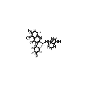 C[C@@H](Nc1ncnc2[nH]cnc12)c1nc2ccc(F)c(Cl)c2c(=O)n1-c1ccc(F)cc1